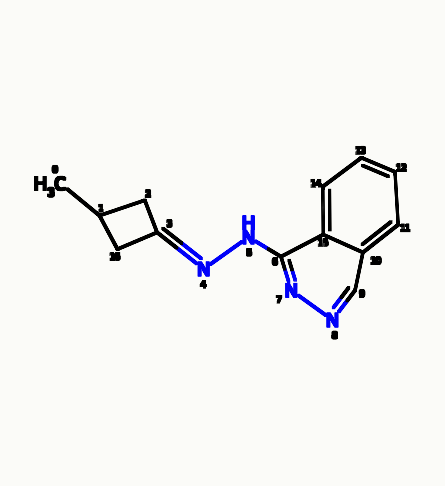 CC1CC(=NNc2nncc3ccccc23)C1